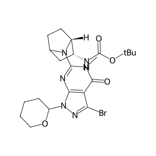 Cn1c(N2C3CC[C@@H]2[C@H](NC(=O)OC(C)(C)C)C3)nc2c(c(Br)nn2C2CCCCO2)c1=O